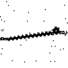 CCCCCCCCCCCCCCCCCCCCCCCCCCCCCCCCOc1cccc(C(=O)O)c1